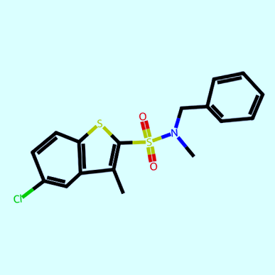 Cc1c(S(=O)(=O)N(C)Cc2ccccc2)sc2ccc(Cl)cc12